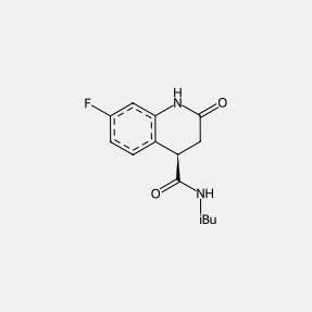 CCC(C)NC(=O)[C@@H]1CC(=O)Nc2cc(F)ccc21